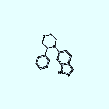 [CH]1CN(c2ccc3cn[nH]c3c2)C(c2ccccc2)CS1